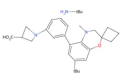 CC(C)(C)N.CN1CC2(CCC2)Oc2cc(C(C)(C)C)cc(-c3cccc(N4CC(C(=O)O)C4)c3)c21